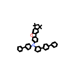 CC1(C)CC(C)(C)c2cc3c(cc21)oc1cc(N(c2ccc(-c4ccccc4)cc2)c2cccc(-c4ccc(-c5ccccc5)cc4)c2)ccc13